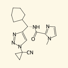 Cn1ccnc1C(=O)N[C@H](c1cn(C2(C#N)CC2)nn1)C1CCCCC1